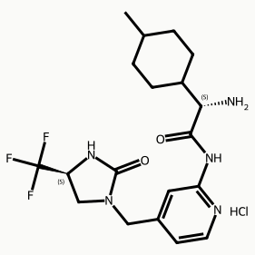 CC1CCC([C@H](N)C(=O)Nc2cc(CN3C[C@@H](C(F)(F)F)NC3=O)ccn2)CC1.Cl